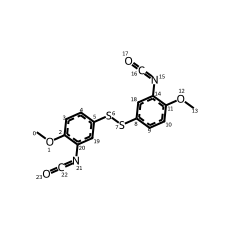 COc1ccc(SSc2ccc(OC)c(N=C=O)c2)cc1N=C=O